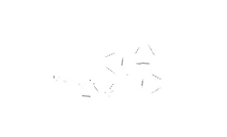 COn1ccc(/N=C/[O][Sn]([c]2ccccc2)([c]2ccccc2)[c]2ccccc2)n1